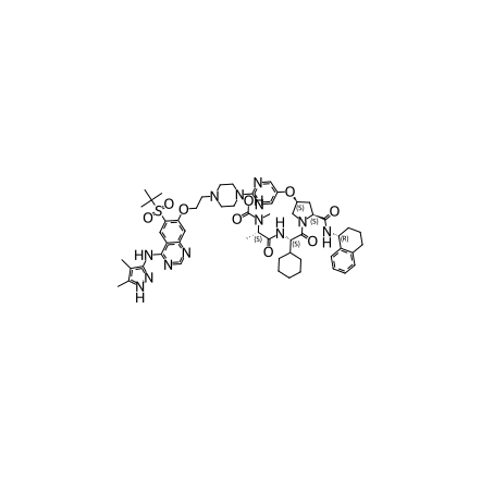 Cc1[nH]nc(Nc2ncnc3cc(OCCN4CCN(c5ncc(O[C@H]6C[C@@H](C(=O)N[C@@H]7CCCc8ccccc87)N(C(=O)[C@@H](NC(=O)[C@H](C)N(C)C(=O)O)C7CCCCC7)C6)cn5)CC4)c(S(=O)(=O)C(C)(C)C)cc23)c1C